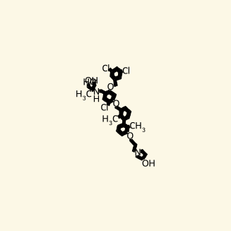 Cc1c(COc2cc(OCc3cc(Cl)cc(Cl)c3)c(CNC(C)(CO)CO)cc2Cl)cccc1-c1cccc(OCCCN2CCC(O)C2)c1C